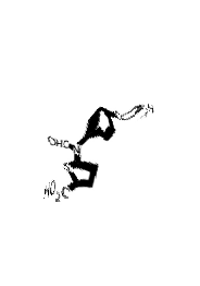 O=CN(c1ccc(C(=O)O)cc1)c1ccc(C(=O)O)s1